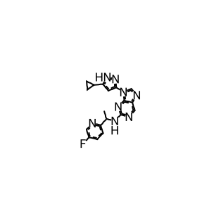 CC(Nc1ncc2ncn(-c3cc(C4CC4)[nH]n3)c2n1)c1ccc(F)cn1